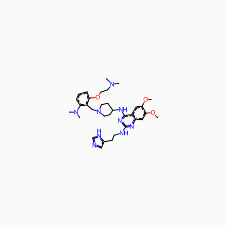 COc1cc2nc(NCCc3cnc[nH]3)nc(NC3CCN(Cc4c(OCCN(C)C)cccc4N(C)C)CC3)c2cc1OC